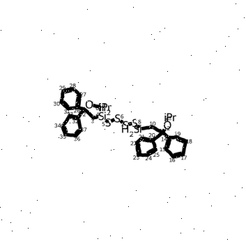 CC(C)OC(C[SiH2]SSSS[SiH2]CC(OC(C)C)(c1ccccc1)c1ccccc1)(c1ccccc1)c1ccccc1